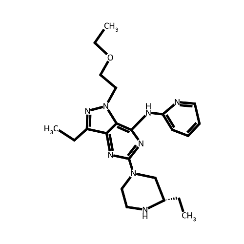 CCOCCn1nc(CC)c2nc(N3CCN[C@@H](CC)C3)nc(Nc3ccccn3)c21